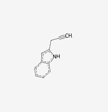 C#CCc1cc2ccccc2[nH]1